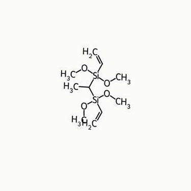 C=C[Si](OC)(OC)C(C)[Si](C=C)(OC)OC